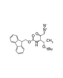 C[C@H](OC(C)(C)C)[C@@H](NC(=O)OCC1c2ccccc2-c2ccccc21)C(=O)C=[N+]=[N-]